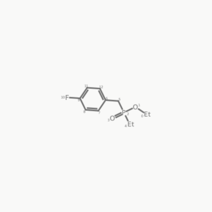 CCOP(=O)(CC)Cc1ccc(F)cc1